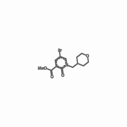 COC(=O)c1cc(Br)cn(CC2CCOCC2)c1=O